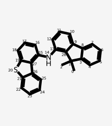 CC1(C)c2ccccc2-c2cccc(Nc3cccc4sc5ccccc5c34)c21